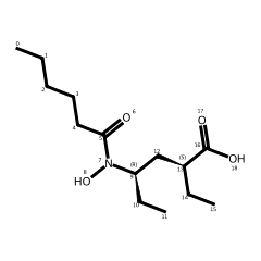 CCCCCC(=O)N(O)[C@H](CC)C[C@H](CC)C(=O)O